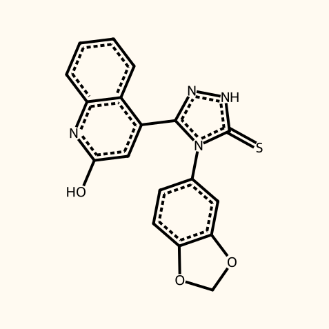 Oc1cc(-c2n[nH]c(=S)n2-c2ccc3c(c2)OCO3)c2ccccc2n1